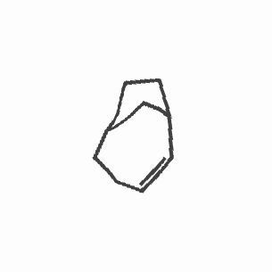 C1=CC2CCC(CC1)C2